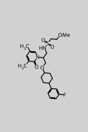 COCCS(=O)(=O)NCC(COC1CCC(c2cccc(F)c2)CC1)n1cc(C)cc(C)c1=O